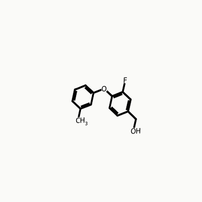 Cc1cccc(Oc2ccc(CO)cc2F)c1